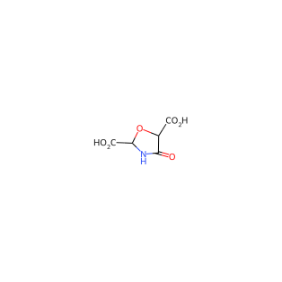 O=C(O)C1NC(=O)C(C(=O)O)O1